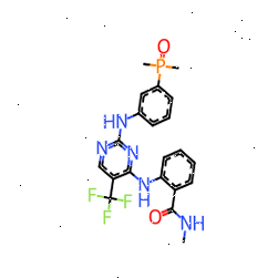 CNC(=O)c1ccccc1Nc1nc(Nc2cccc(P(C)(C)=O)c2)ncc1C(F)(F)F